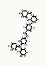 C1=CC2Sc3cccc(-c4ccc(/C=C/c5ccc(N(c6ccccc6)c6ccccc6)cc5)cc4)c3SC2C=C1